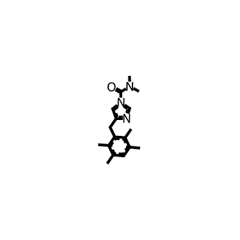 Cc1cc(C)c(C)c(Cc2cn(C(=O)N(C)C)cn2)c1C